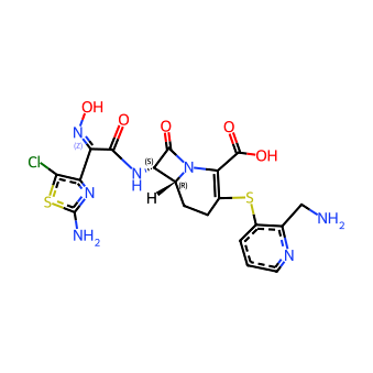 NCc1ncccc1SC1=C(C(=O)O)N2C(=O)[C@@H](NC(=O)/C(=N\O)c3nc(N)sc3Cl)[C@H]2CC1